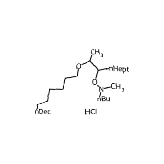 CCCCCCCCCCCCCCCCOC(C)C(CCCCCCC)ON(C)CCCC.Cl